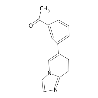 CC(=O)c1cccc(-c2ccc3nccn3c2)c1